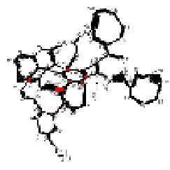 C=C/C=C\C1=C(C)Oc2ccccc2C12/C(=C/C=C\CC1=NCC(C)CC1c1ccc(C3=CC4C(C5=CC=CCCC5)=NC(C5=CC=CCC=C5)=N[C@@H]34)cc1)C=Cc1ccccc12